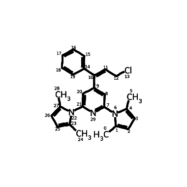 Cc1ccc(C)n1-c1cc(/C(=C\CCl)c2ccccc2)cc(-n2c(C)ccc2C)n1